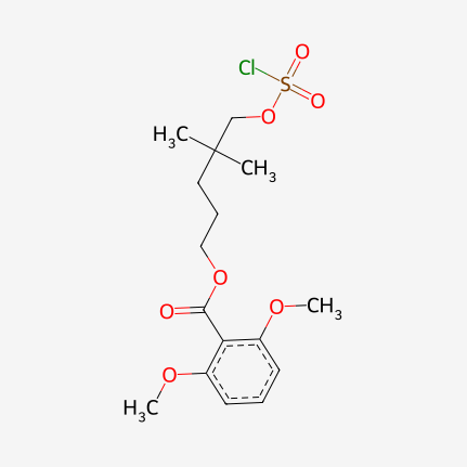 COc1cccc(OC)c1C(=O)OCCCC(C)(C)COS(=O)(=O)Cl